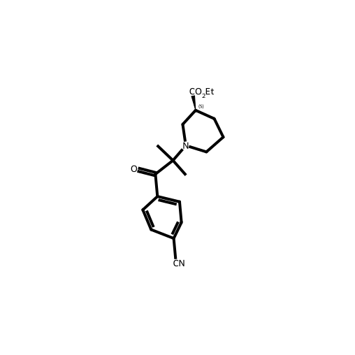 CCOC(=O)[C@H]1CCCN(C(C)(C)C(=O)c2ccc(C#N)cc2)C1